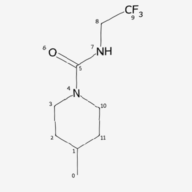 CC1CCN(C(=O)NCC(F)(F)F)CC1